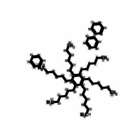 CCCCCCc1c(CCCCCC)c(CCCCCC)c(CCCCCC)c(CCCCCC)c1CCCCCC.c1ccccc1.c1ccccc1.c1ccccc1